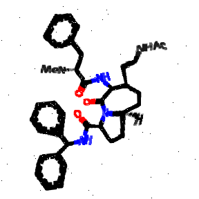 CN[C@H](Cc1ccccc1)C(=O)N[C@@H]1C(=O)N2[C@@H](CC[C@@H]1CCNC(C)=O)CC[C@H]2C(=O)NC(c1ccccc1)c1ccccc1